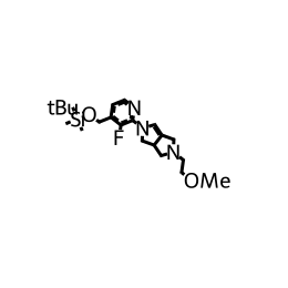 COCCN1CC2=CN(c3nccc(CO[Si](C)(C)C(C)(C)C)c3F)CC2C1